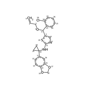 C=CCOC(c1cnc(NC2(c3ccc4c(c3)OCO4)CC2)s1)c1ccccc1Cl